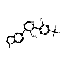 Nc1c(-c2ccc3[nH]ccc3c2)ncnc1-c1ccc(C(F)(F)F)cc1F